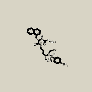 CC(C)CN([C@H](CO)CCCNC(=O)[C@H](Cc1cccc2ccccc12)NC(=O)OC(C)(C)C)S(=O)(=O)c1ccc(N)cc1